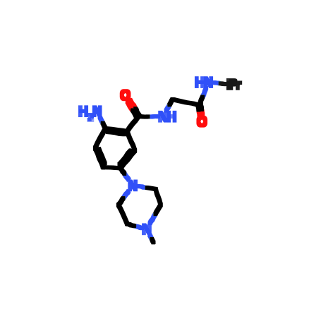 CC(C)NC(=O)CNC(=O)c1cc(N2CCN(C)CC2)ccc1N